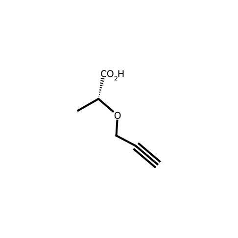 C#CCO[C@H](C)C(=O)O